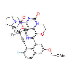 COCOc1cc(-c2ncc3c(N4CC5CCC(C4)N5C(=O)OC(C)(C)C)nc(=O)n4c3c2OCC4)c2c(C#C[Si](C(C)C)(C(C)C)C(C)C)c(F)ccc2c1